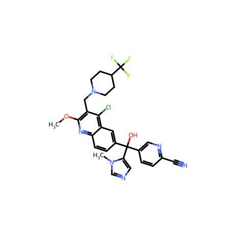 COc1nc2ccc(C(O)(c3ccc(C#N)nc3)c3cncn3C)cc2c(Cl)c1CN1CCC(C(F)(F)F)CC1